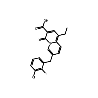 CCc1cc(C(=O)O)c(=O)n2cc(Cc3cccc(Cl)c3F)ccc12